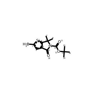 Bc1cc2c(s1)C(C)(C)N(C(=O)OC(C)(C)C)C2=O